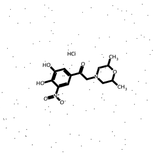 CC1CN(CC(=O)c2cc(O)c(O)c([N+](=O)[O-])c2)CC(C)O1.Cl